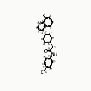 Cc1cccc2c1nccc2[C@H]1CC[C@H](CC(=O)Nc2ccc(Cl)cc2)CC1